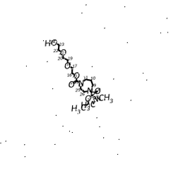 CCOP(=O)(N(C)C)N1CCCN(C(=O)OCCOCCOCCO)CC1